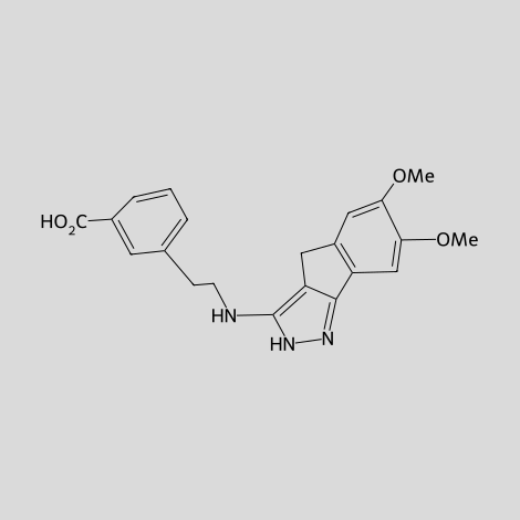 COc1cc2c(cc1OC)-c1n[nH]c(NCCc3cccc(C(=O)O)c3)c1C2